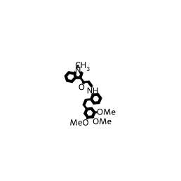 COc1cc(/C=C\c2ccccc2N/C=C\C(=O)c2cn(C)c3ccccc23)cc(OC)c1OC